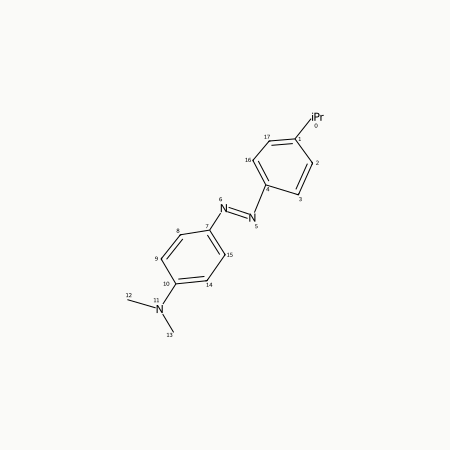 CC(C)c1ccc(N=Nc2ccc(N(C)C)cc2)cc1